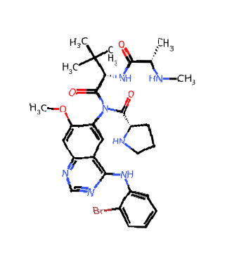 CN[C@@H](C)C(=O)N[C@H](C(=O)N(C(=O)[C@@H]1CCCN1)c1cc2c(Nc3ccccc3Br)ncnc2cc1OC)C(C)(C)C